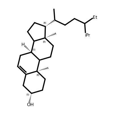 CCC(CCC(C)[C@H]1CCC2[C@@H]3CC=C4C[C@@H](O)CC[C@]4(C)C3CC[C@@]21C)C(C)C